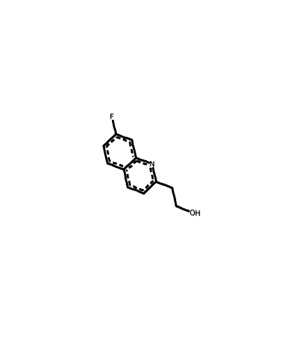 OCCc1ccc2ccc(F)cc2n1